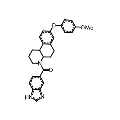 COc1ccc(Oc2ccc3c(c2)CCC2C3CCCN2C(=O)c2ccc3[nH]cnc3c2)cc1